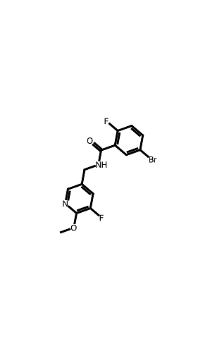 COc1ncc(CNC(=O)c2cc(Br)ccc2F)cc1F